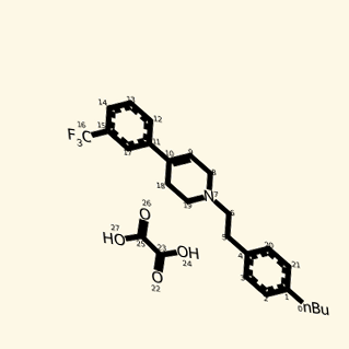 CCCCc1ccc(CCN2CC=C(c3cccc(C(F)(F)F)c3)CC2)cc1.O=C(O)C(=O)O